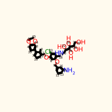 Cc1c(COc2cc(OCc3cccc(N)c3)c(CNC[C@H](O)[C@@H](O)[C@H](O)[C@H](O)CO)cc2Cl)cccc1-c1ccc2c(c1)OCCO2